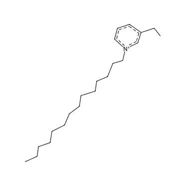 CCCCCCCCCCCCCC[n+]1cccc(CC)c1